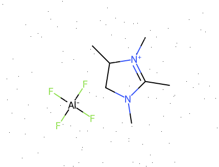 CC1=[N+](C)C(C)CN1C.[F][Al-]([F])([F])[F]